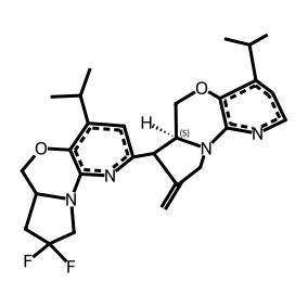 C=C1CN2c3nccc(C(C)C)c3OC[C@@H]2C1c1cc(C(C)C)c2c(n1)N1CC(F)(F)CC1CO2